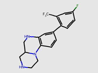 Fc1ccc(-c2ccc3c(c2)NCC2CNCCN32)c(C(F)(F)F)c1